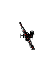 CCCCCCCCCCCCCCCCCCOC(=O)NC(CNC(=O)OCCCCCCCCCCCCCCCC)C(=O)OCCC(C)(CC)OCCC(C)(C)OC